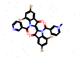 C[n+]1cccc(C(=O)N2/C(=C3\C(=O)c4cc(Br)cc(Br)c4N3C(=O)c3cccnc3)C(=O)c3cc(Br)cc(Br)c32)c1